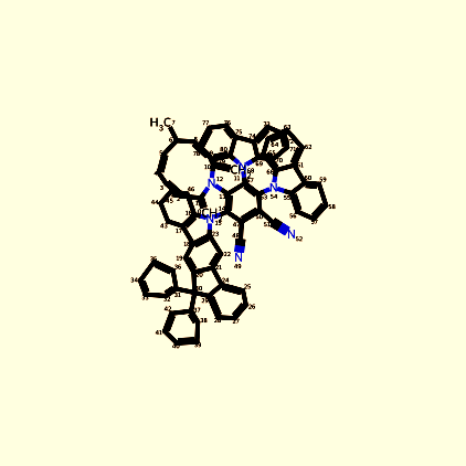 C=C1/C=C\C=C/C(C)/C=C\C(=C)N1c1c(-n2c3c(c4cc5c(cc42)-c2ccccc2C5(c2ccccc2)c2ccccc2)CCC=C3)c(C#N)c(C#N)c(-n2c3ccccc3c3ccccc32)c1-n1c2ccccc2c2ccccc21